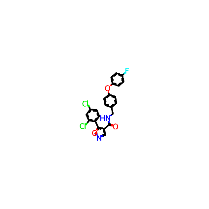 O=C(NCc1ccc(Oc2ccc(F)cc2)cc1)c1cnoc1-c1ccc(Cl)cc1Cl